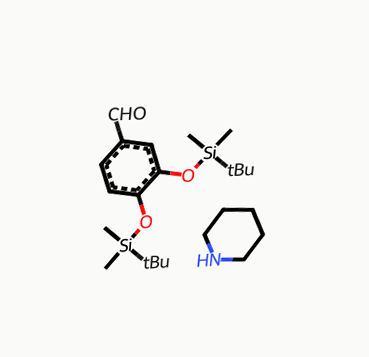 C1CCNCC1.CC(C)(C)[Si](C)(C)Oc1ccc(C=O)cc1O[Si](C)(C)C(C)(C)C